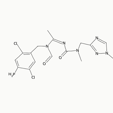 C/C(=N/C(=O)N(C)Cc1ncn(C)n1)N(C=O)Cc1cc(Cl)c(P)cc1Cl